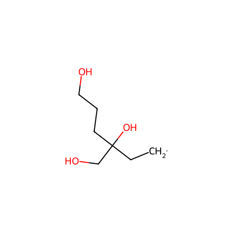 [CH2]CC(O)(CO)CCCO